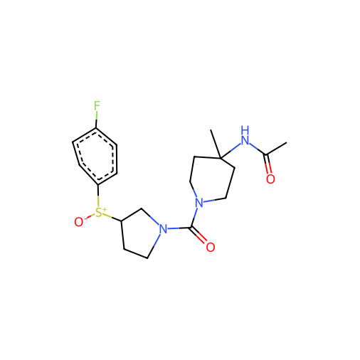 CC(=O)NC1(C)CCN(C(=O)N2CCC([S+]([O-])c3ccc(F)cc3)C2)CC1